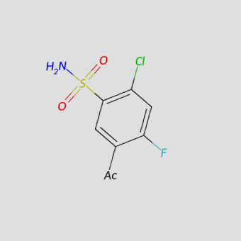 CC(=O)c1cc(S(N)(=O)=O)c(Cl)cc1F